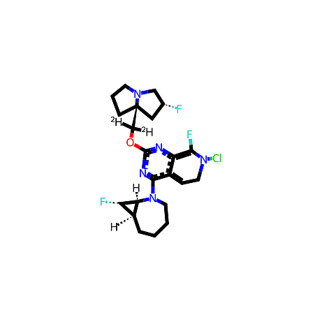 [2H]C([2H])(Oc1nc(N2CCCC[C@H]3[C@H](F)[C@H]32)c2c(n1)=C(F)N(Cl)CC=2)[C@@]12CCCN1C[C@H](F)C2